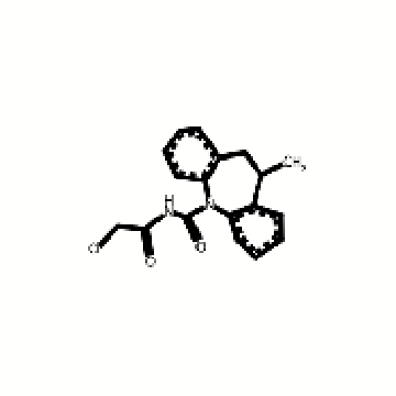 CC1Cc2ccccc2N(C(=O)NC(=O)CCl)c2ccccc21